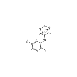 Cc1cnc(Cl)nc1NC1CC2CCCC1CC2